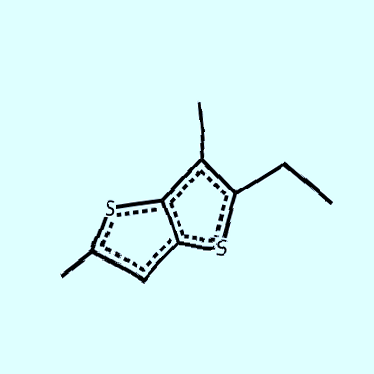 CCc1sc2cc(C)sc2c1C